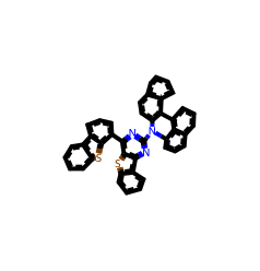 c1ccc2c3c(ccc2c1)N(c1nc(-c2cccc4c2sc2ccccc24)c2sc4ccccc4c2n1)c1cccc2cccc-3c12